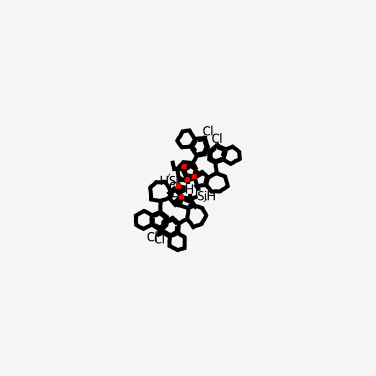 CCC1=CC2=C(CCCCC2c2ccc(Cl)c3c2CCCC3)[C]12[SiH](C)[C]1(C(CC)=CC3=C1CCCCC3c1ccc(Cl)c3c1CCCC3)[Hf]21([Cl])([Cl])[C]2(C(CC)=CC3=C2CCCCC3c2ccc(Cl)c3c2CCCC3)[SiH](C)[C]12C(CC)=CC1=C2CCCCC1c1ccc(Cl)c2c1CCCC2